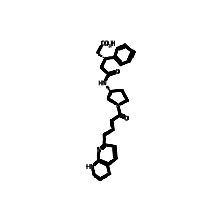 O=C(O)C[C@@H](CC(=O)N[C@@H]1CCN(C(=O)CCCc2ccc3c(n2)NCCC3)C1)c1ccccc1